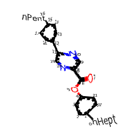 CCCCCCCc1ccc(OC(=O)c2cnc(-c3ccc(CCCCC)cc3)cn2)cc1